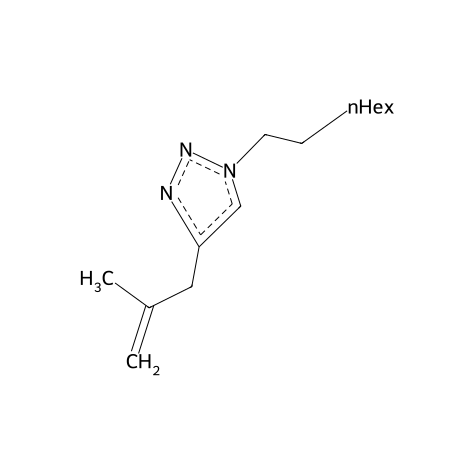 C=C(C)Cc1cn(CCCCCCCC)nn1